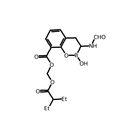 CCC(CC)C(=O)OCOC(=O)c1cccc2c1OB(O)C(NC=O)C2